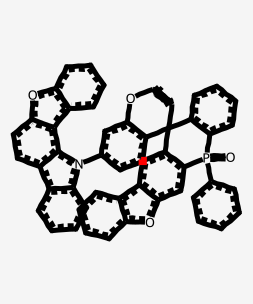 O=P1(c2ccccc2)c2ccccc2C2(c3ccccc3Oc3cc(-n4c5ccccc5c5ccc6oc7ccccc7c6c54)ccc32)c2cc3c(cc21)oc1ccccc13